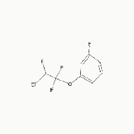 Fc1cccc(OC(F)(F)C(F)Cl)c1